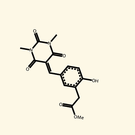 COC(=O)Cc1cc(C=C2C(=O)N(C)C(=O)N(C)C2=O)ccc1O